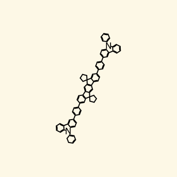 C1=CCCC(n2c3ccccc3c3cc(-c4ccc(-c5ccc6c(c5)C5(CCCC5)c5cc7c(cc5-6)C5(CCCC5)c5cc(-c6ccc(-c8ccc9c(c8)c8ccccc8n9-c8ccccc8)cc6)ccc5-7)cc4)ccc32)=C1